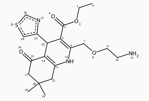 CCOC(=O)C1=C(COCCN)NC2=C(C(=O)CC(C)(C)C2)C1c1cscn1